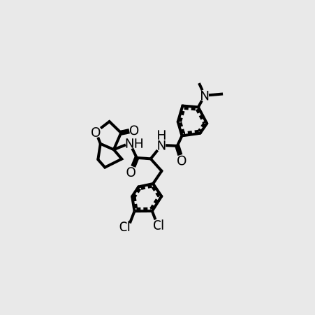 CN(C)c1ccc(C(=O)NC(Cc2ccc(Cl)c(Cl)c2)C(=O)NC23CCCC2OCC3=O)cc1